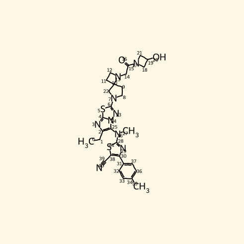 CCc1nc2sc(N3CCC4(CCN4CC(=O)N4CC(O)C4)C3)nn2c1N(C)c1nc(-c2ccc(C)cc2)c(C#N)s1